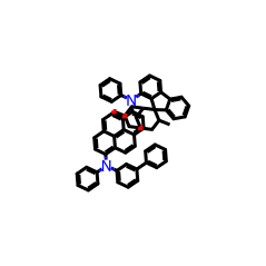 CC1CC2CC(C)C3(c4ccccc4-c4cccc(N(c5ccccc5)c5ccc6ccc7c(N(c8ccccc8)c8cccc(-c9ccccc9)c8)ccc8ccc5c6c87)c43)C(C1)C2